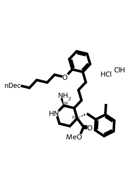 CCCCCCCCCCCCCCOc1ccccc1CCCC1[C@H](N)NCC[C@]1(Cc1ccccc1C)C(=O)OC.Cl.Cl